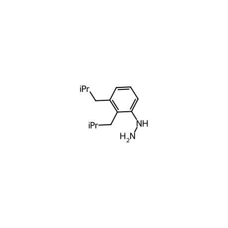 CC(C)Cc1cccc(NN)c1CC(C)C